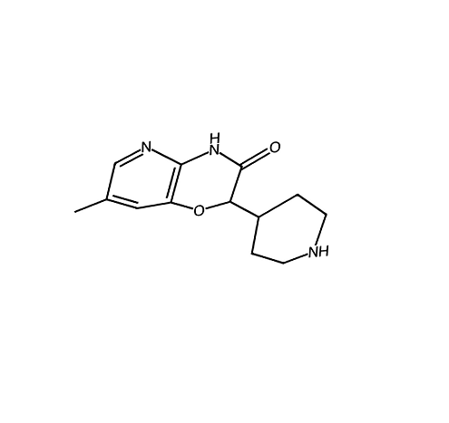 Cc1cnc2c(c1)OC(C1CCNCC1)C(=O)N2